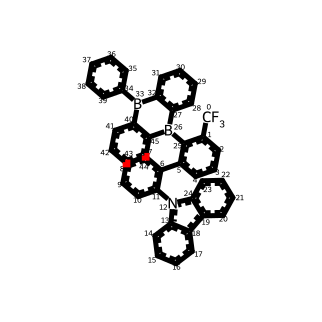 FC(F)(F)c1cccc(-c2ccccc2-n2c3ccccc3c3ccccc32)c1B1c2ccccc2B(c2ccccc2)c2ccccc21